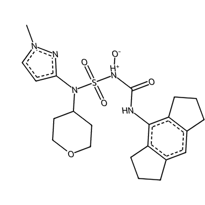 Cn1ccc(N(C2CCOCC2)S(=O)(=O)[NH+]([O-])C(=O)Nc2c3c(cc4c2CCC4)CCC3)n1